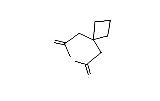 O=C1CC2(CCC2)CC(=O)O1